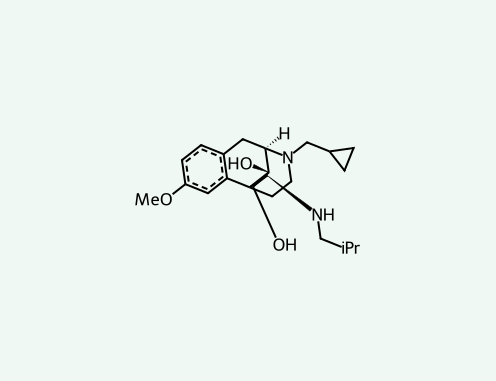 COc1ccc2c(c1)C13CCN(CC4CC4)[C@H](C2)[C@]1(O)C[C@@H](NCC(C)C)C(O)C3